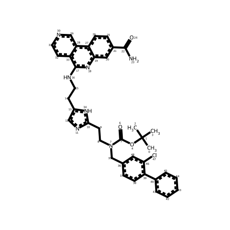 CC(C)(C)OC(=O)N(CCc1ncc(CCNc2nc3cc(C(N)=O)ccc3c3cnccc23)[nH]1)Cc1ccc(-c2ccccc2)c(Cl)c1